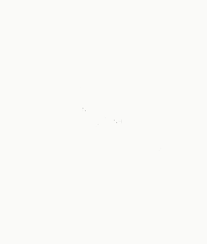 COc1ccc(CNC(=O)c2cccc3ccc(-c4ccccc4)nc23)cc1